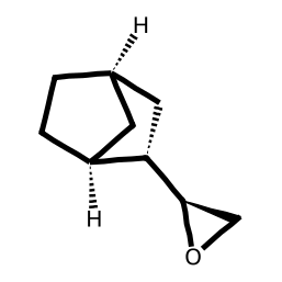 C1C[C@H]2C[C@@H]1C[C@@H]2[C@H]1CO1